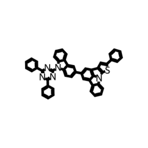 c1ccc(-c2nc(-c3ccccc3)nc(-n3c4ccccc4c4cc(-c5cc6c7ccccc7n7c8sc(-c9ccccc9)cc8c(c5)c67)ccc43)n2)cc1